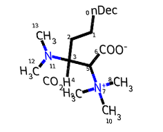 CCCCCCCCCCCCC(C(=O)O)(C(C(=O)[O-])[N+](C)(C)C)N(C)C